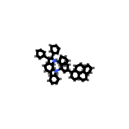 c1ccc(-c2c(-c3ccccc3)n(-c3ccccc3)c3c2ccc2c4ccccc4n(-c4cccc(-c5ccc6ccc7cccc8ccc5c6c78)c4)c23)cc1